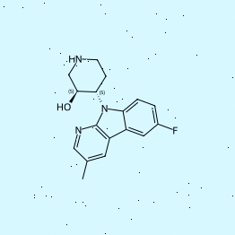 Cc1cnc2c(c1)c1cc(F)ccc1n2[C@H]1CCNC[C@@H]1O